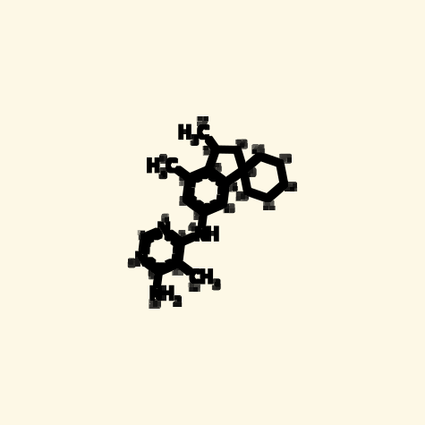 Cc1cc(Nc2ncnc(N)c2C)cc2c1C(C)CC21CCCCC1